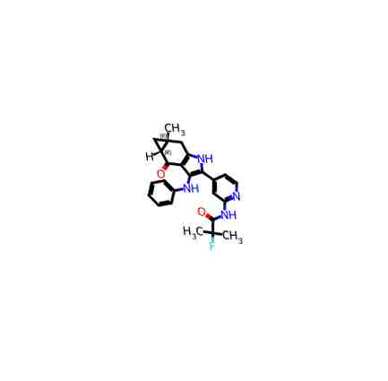 CC(C)(F)C(=O)Nc1cc(-c2[nH]c3c(c2Nc2ccccc2)C(=O)[C@@H]2C[C@]2(C)C3)ccn1